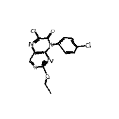 CCOc1ncc2nc(Cl)c(=O)n(-c3ccc(Cl)cc3)c2n1